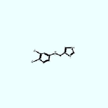 Clc1cc(NCc2c[nH]cn2)ccc1Br